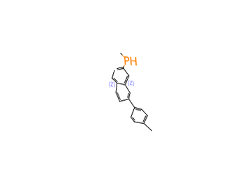 C=C(/C=c1/cc(-c2ccc(C)cc2)cc/c1=C/C)PC